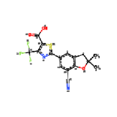 CC1(C)Cc2cc(-c3nc(C(F)(F)F)c(C(=O)O)s3)cc(C#N)c2O1